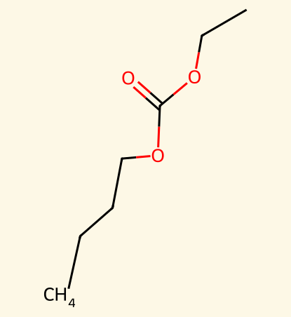 C.CCCCOC(=O)OCC